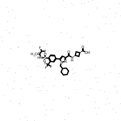 C[C@H](NS(=O)(=O)c1ccc(-c2cc(C(=O)N[C@H]3C[C@H](C(=O)O)C3)nn2CC2CCCCC2)cc1C(F)(F)F)C(F)F